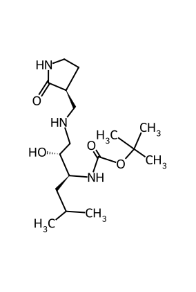 CC(C)C[C@H](NC(=O)OC(C)(C)C)[C@H](O)CNC[C@@H]1CCNC1=O